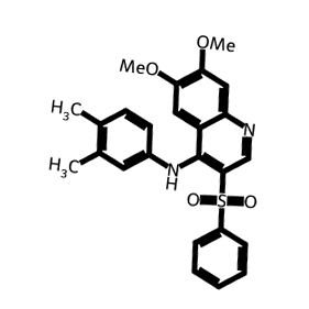 COc1cc2ncc(S(=O)(=O)c3ccccc3)c(Nc3ccc(C)c(C)c3)c2cc1OC